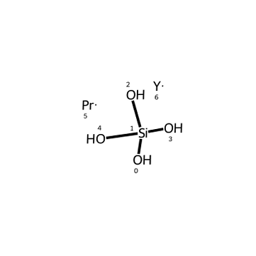 O[Si](O)(O)O.[Pr].[Y]